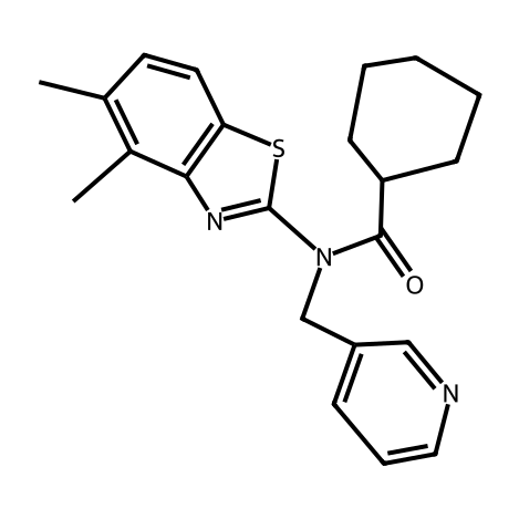 Cc1ccc2sc(N(Cc3cccnc3)C(=O)C3CCCCC3)nc2c1C